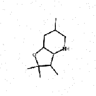 CC1CNC2C(C1)OC(C)(C)C2C